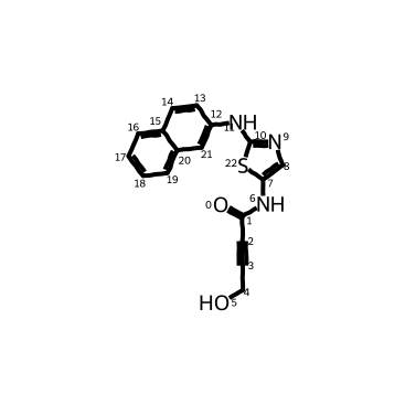 O=C(C#CCO)Nc1cnc(Nc2ccc3ccccc3c2)s1